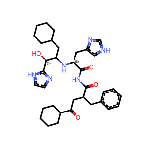 O=C(CC(Cc1ccccc1)C(=O)NC(=O)[C@H](Cc1c[nH]cn1)NC(CC1CCCCC1)[C@H](O)c1ncc[nH]1)C1CCCCC1